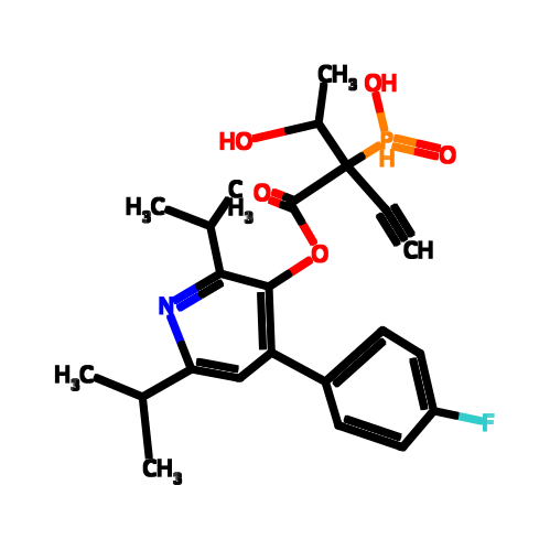 C#CC(C(=O)Oc1c(-c2ccc(F)cc2)cc(C(C)C)nc1C(C)C)(C(C)O)[PH](=O)O